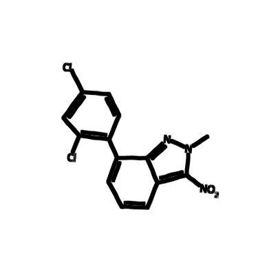 Cn1nc2c(-c3ccc(Cl)cc3Cl)cccc2c1[N+](=O)[O-]